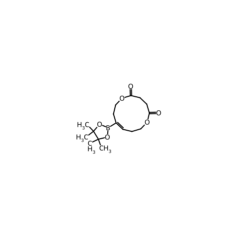 CC1(C)OB(C2=CCCOC(=O)CCC(=O)OCC2)OC1(C)C